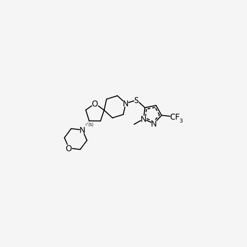 Cn1nc(C(F)(F)F)cc1SN1CCC2(CC1)C[C@H](N1CCOCC1)CO2